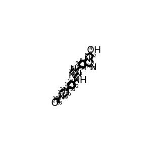 CC1CC(O)CN1c1ccc(-c2ncnc(Nc3ccc(N4CCN(C5COC5)CC4)cc3)n2)cc1C#N